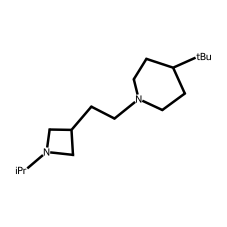 CC(C)N1CC(CCN2CCC(C(C)(C)C)CC2)C1